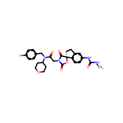 CNC(=O)Nc1ccc2c(c1)CC[C@@]21OC(=O)N(CC(=O)N(Cc2ccc(F)cc2)C2CCOCC2)C1=O